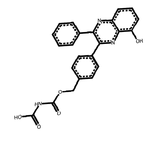 O=C(O)NC(=O)OCc1ccc(-c2nc3c(O)cccc3nc2-c2ccccc2)cc1